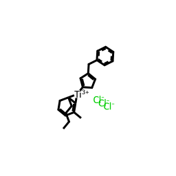 CCCC[C]12CC=CC(C)=[C]1[Ti+3]2[C]1=CC(Cc2ccccc2)=CC1.[Cl-].[Cl-].[Cl-]